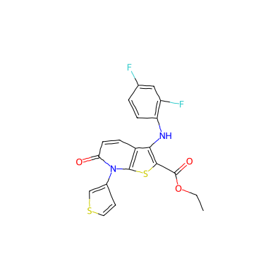 CCOC(=O)c1sc2c(ccc(=O)n2-c2ccsc2)c1Nc1ccc(F)cc1F